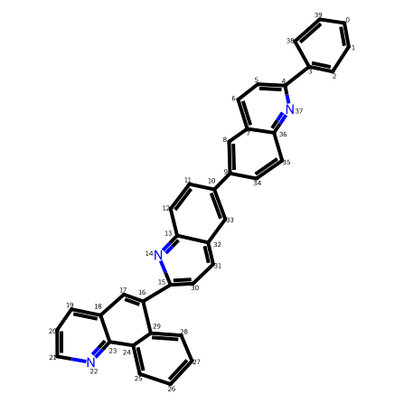 c1ccc(-c2ccc3cc(-c4ccc5nc(-c6cc7cccnc7c7ccccc67)ccc5c4)ccc3n2)cc1